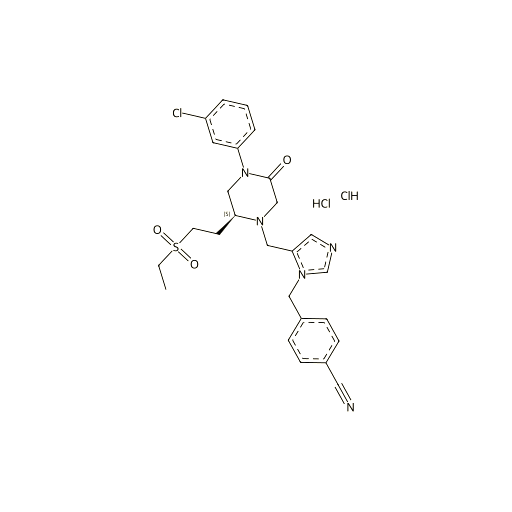 CCS(=O)(=O)CC[C@H]1CN(c2cccc(Cl)c2)C(=O)CN1Cc1cncn1Cc1ccc(C#N)cc1.Cl.Cl